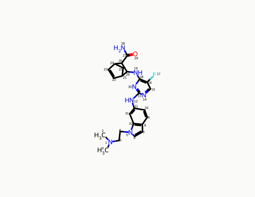 CN(C)CCn1ccc2ccc(Nc3ncc(F)c(NC4C5C=CC(C5)C4C(N)=O)n3)cc21